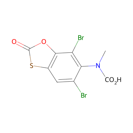 CN(C(=O)O)c1c(Br)cc2sc(=O)oc2c1Br